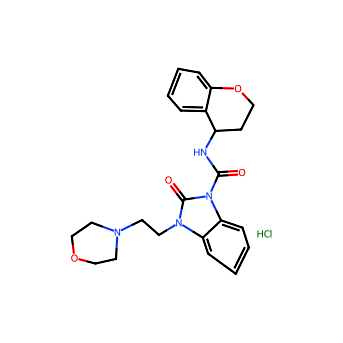 Cl.O=C(NC1CCOc2ccccc21)n1c(=O)n(CCN2CCOCC2)c2ccccc21